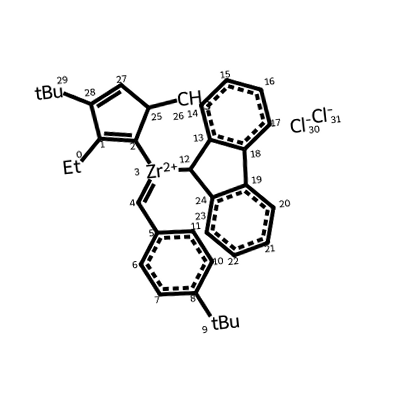 CCC1=[C](/[Zr+2](=[CH]/c2ccc(C(C)(C)C)cc2)[CH]2c3ccccc3-c3ccccc32)C(C)C=C1C(C)(C)C.[Cl-].[Cl-]